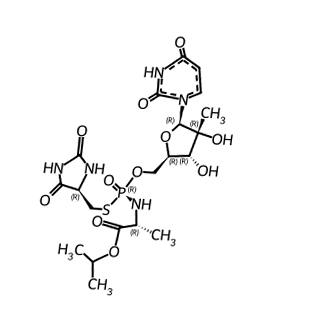 CC(C)OC(=O)[C@@H](C)N[P@@](=O)(OC[C@H]1O[C@@H](n2ccc(=O)[nH]c2=O)[C@](C)(O)[C@@H]1O)SC[C@@H]1NC(=O)NC1=O